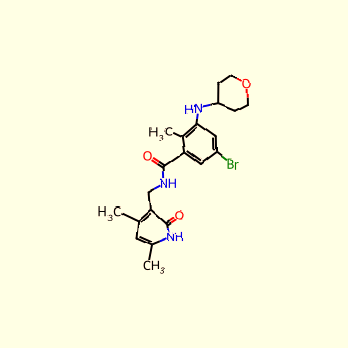 Cc1cc(C)c(CNC(=O)c2cc(Br)cc(NC3CCOCC3)c2C)c(=O)[nH]1